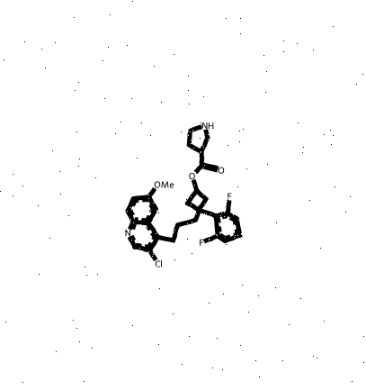 COc1ccc2ncc(Cl)c(CCCC3(c4c(F)cccc4F)CC(OC(=O)C4CCNC4)C3)c2c1